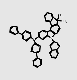 CC1(C)c2ccccc2-c2c1ccc1c2c2ccc(N(c3ccc(-c4ccccc4)cc3)c3ccc(-c4ccccc4)cc3)cc2n1-c1ccc2ccccc2c1